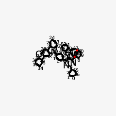 c1ccc(-c2nc(-c3ccccc3)c3c(n2)-c2ccc(-n4c5ccccc5c5cc6oc7ccccc7c6cc54)cc2[Si]3(c2ccccc2)c2ccccc2)cc1